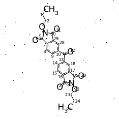 CCCON1C(=O)c2ccc(C(=O)c3ccc4c(c3)C(=O)N(OCCC)C4=O)cc2C1=O